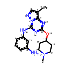 CC(C)c1cnn2c(Nc3cccc(N)c3)nc(OC3CCN(C)CC3)nc12